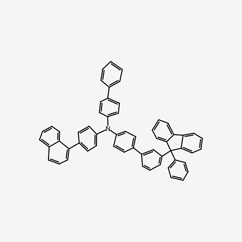 c1ccc(-c2ccc(N(c3ccc(-c4cccc(C5(c6ccccc6)c6ccccc6-c6ccccc65)c4)cc3)c3ccc(-c4cccc5ccccc45)cc3)cc2)cc1